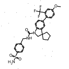 COc1ccc(-c2ccc3c(c2)C2(CCCC2)CN3C(=O)NCc2ccc(S(N)(=O)=O)cc2)c(C(F)(F)F)c1